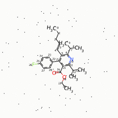 CCCC=Cc1c(C(C)C)nc(C(C)C)c(C(=O)OCC)c1-c1ccc(F)cc1